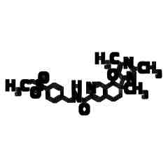 CCS(=O)(=O)c1ccc(CNC(=O)c2cc3c(cn2)C(=O)C(C)(c2cc(C)nc(C)n2)CC3)cc1